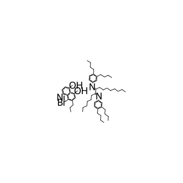 CCCCCCCCC(=Nc1ccc(CCCC)c(CCCC)c1)C(CCCCCC)=Nc1ccc(CCCC)c(CCCC)c1.CCCc1cc(O)c2c(O)cccc2c1Br.[Ni]